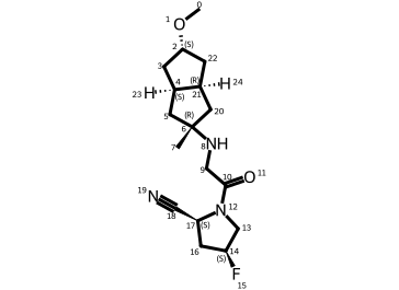 CO[C@H]1C[C@@H]2C[C@@](C)(NCC(=O)N3C[C@@H](F)C[C@H]3C#N)C[C@@H]2C1